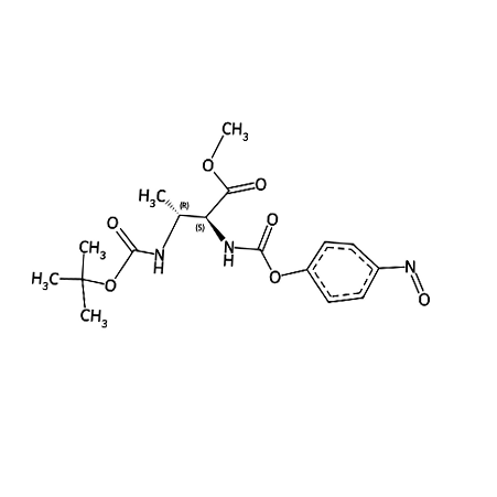 COC(=O)[C@@H](NC(=O)Oc1ccc(N=O)cc1)[C@@H](C)NC(=O)OC(C)(C)C